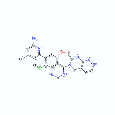 Cc1cc(N)nc(-c2cc3c4c(c2Cl)=NCNC=4N(Cc2ccnnc2N)C=CO3)c1C(F)(F)F